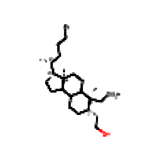 CC(C)CCC[C@@H](C)[C@H]1CCC2C3CC[C@@H](CCO)[C@](C)(CC(=O)O)C3CC[C@@]21C